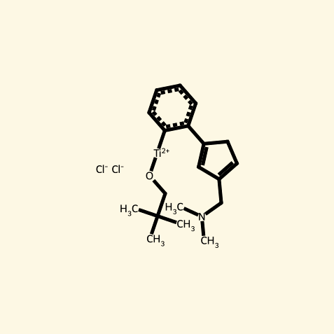 CN(C)CC1=CCC(c2cccc[c]2[Ti+2][O]CC(C)(C)C)=C1.[Cl-].[Cl-]